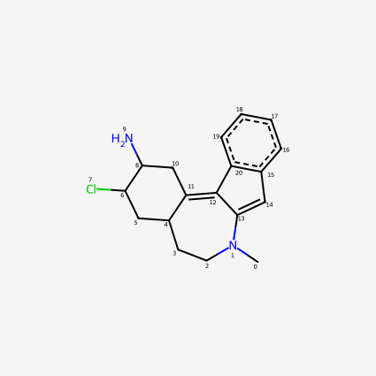 CN1CCC2CC(Cl)C(N)CC2=C2C1=Cc1ccccc12